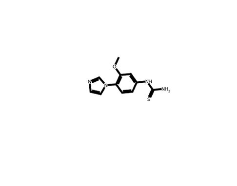 COc1cc(NC(N)=S)ccc1-n1ccnc1